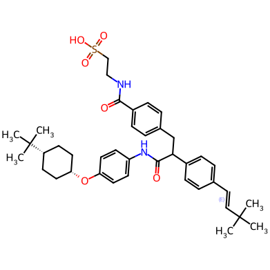 CC(C)(C)/C=C/c1ccc(C(Cc2ccc(C(=O)NCCS(=O)(=O)O)cc2)C(=O)Nc2ccc(O[C@H]3CC[C@@H](C(C)(C)C)CC3)cc2)cc1